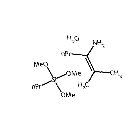 CCCC(N)=C(C)C.CCC[Si](OC)(OC)OC.O